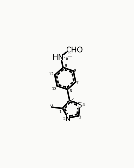 Cc1ncsc1-c1ccc(NC=O)cc1